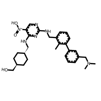 Cc1c(CNc2ncc([N+](=O)O)c(NC[C@H]3CC[C@H](CO)CC3)n2)cccc1-c1cccc(CN(C)C)c1